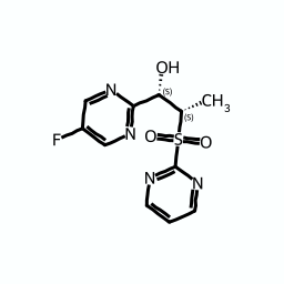 C[C@@H]([C@@H](O)c1ncc(F)cn1)S(=O)(=O)c1ncccn1